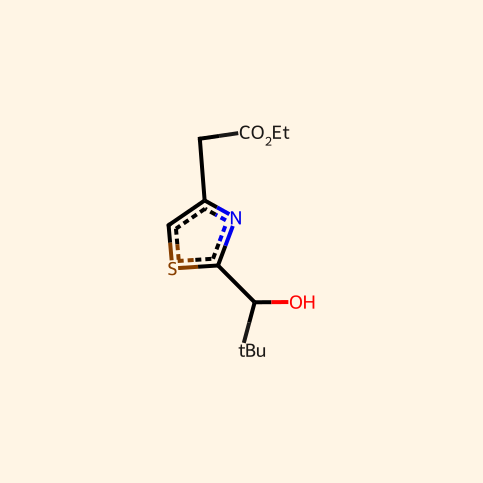 CCOC(=O)Cc1csc(C(O)C(C)(C)C)n1